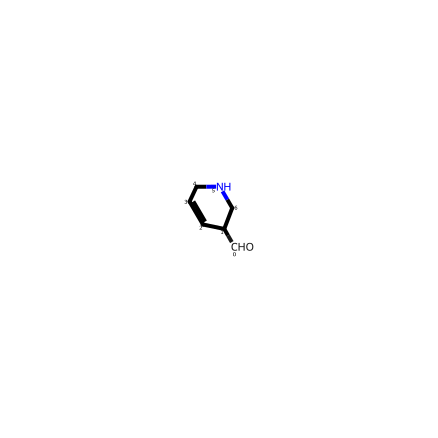 O=CC1C=CCNC1